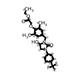 CCOC(=O)COc1c(C)cc(CN2C(=O)N(c3ccc(C(F)(F)F)cc3)CC2O)cc1C